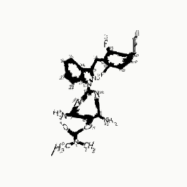 CN(C)C(=O)Oc1c(N)nc(-n2nc(Cc3c(F)ccc(F)c3F)c3ccccc32)nc1N